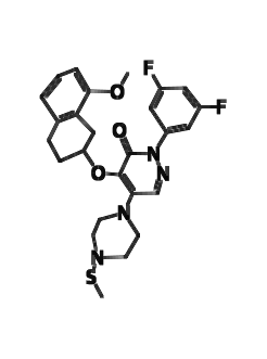 COc1cccc2c1CC(Oc1c(N3CCN(SC)CC3)cnn(-c3cc(F)cc(F)c3)c1=O)CC2